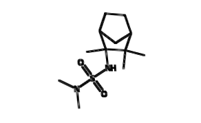 CN(C)S(=O)(=O)NC1(C)C2CCC(C2)C1(C)C